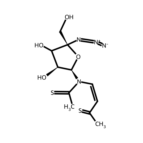 CC(=S)/C=C\N(C(C)=S)[C@@H]1O[C@@](CO)(N=[N+]=[N-])C(O)[C@@H]1O